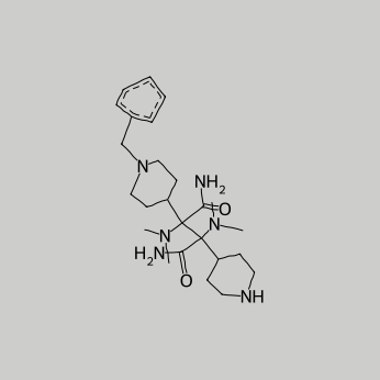 CN(C)C(C(N)=O)(C1CCNCC1)C(C(N)=O)(C1CCN(Cc2ccccc2)CC1)N(C)C